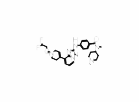 CN1CCC(N(C)C(=O)c2ccc(Nc3nc4c(C5=CCN(OCC(F)F)CC5)cccn4n3)cc2)CC1